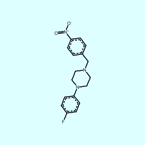 O=[N+]([O-])c1ccc(CN2CCN(c3ccc(F)cc3)CC2)cc1